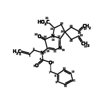 C=CCN(C(=O)OCc1ccccc1)c1cnc2n(c1=O)C(C(=O)O)CC2(CC=C)CC=C